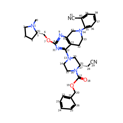 CN1CCC[C@H]1COc1nc2c(c(N3CCN(C(=O)OCc4ccccc4)[C@@H](CC#N)C3)n1)CCN(c1ccccc1C#N)C2